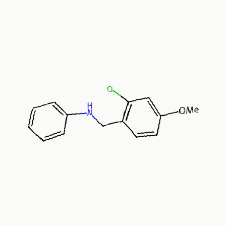 COc1ccc(CNc2ccccc2)c(Cl)c1